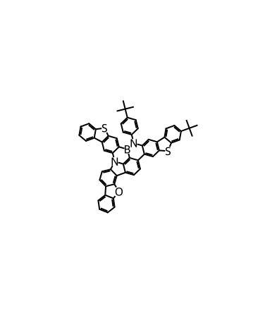 CC(C)(C)c1ccc(N2B3c4cc5sc6ccccc6c5cc4-n4c5ccc6c7ccccc7oc6c5c5ccc(c3c54)-c3cc4sc5cc(C(C)(C)C)ccc5c4cc32)cc1